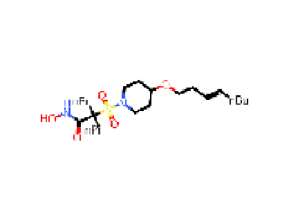 CCCCC=CCCOC1CCN(S(=O)(=O)C(CCC)(CCC)C(=O)NO)CC1